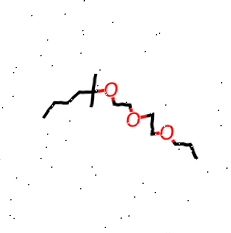 CCCCC(C)(C)OCCOCCOCCC